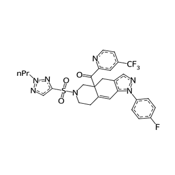 CCCn1ncc(S(=O)(=O)N2CCC3=Cc4c(cnn4-c4ccc(F)cc4)CC3(C(=O)c3cc(C(F)(F)F)ccn3)C2)n1